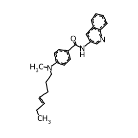 CCC=CCCCN(C)c1ccc(C(=O)Nc2cnc3ccccc3c2)cc1